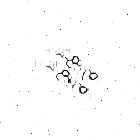 Cc1ccc(C[C@H](NC(=O)c2cccc3c2OCCC3NC[C@@H](N)CS)C(N)=O)cc1.NC(=O)[C@H](Cc1ccc(Cl)c(Cl)c1)NC(=O)c1cccc2c1OCCC2NC[C@@H](N)CS